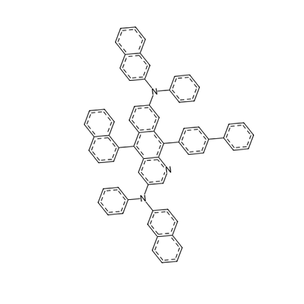 c1ccc(-c2ccc(-c3c4cc(N(c5ccccc5)c5ccc6ccccc6c5)ccc4c(-c4cccc5ccccc45)c4cc(N(c5ccccc5)c5ccc6ccccc6c5)cnc34)cc2)cc1